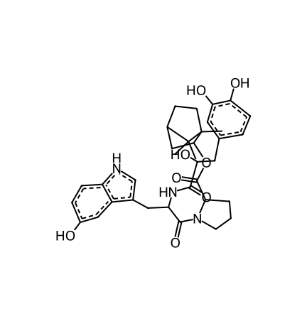 CC1(C)C2CCC1(C)C(OC(=O)C1CCCN1C(=O)C(Cc1c[nH]c3ccc(O)cc13)NC(=O)C(O)Cc1ccc(O)c(O)c1)C2